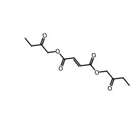 CCC(=O)COC(=O)/C=C/C(=O)OCC(=O)CC